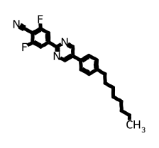 CCCCCCCCc1ccc(-c2cnc(-c3cc(F)c(C#N)c(F)c3)nc2)cc1